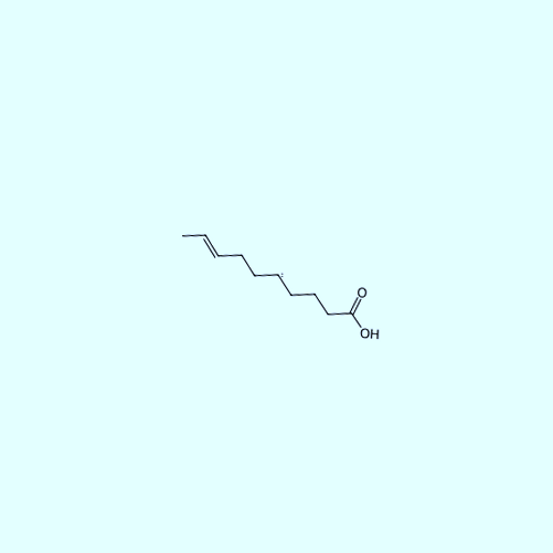 CC=CCC[C]CCCC(=O)O